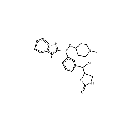 CN1CCC(OC(c2cccc(C(S)C3CNC(=O)O3)c2)c2nc3ccccc3[nH]2)CC1